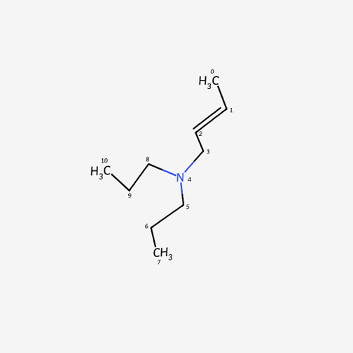 CC=CCN(CCC)CCC